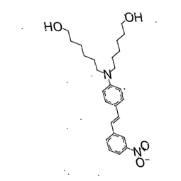 O=[N+]([O-])c1cccc(C=Cc2c[c]c(N(CCCCCCO)CCCCCCO)cc2)c1